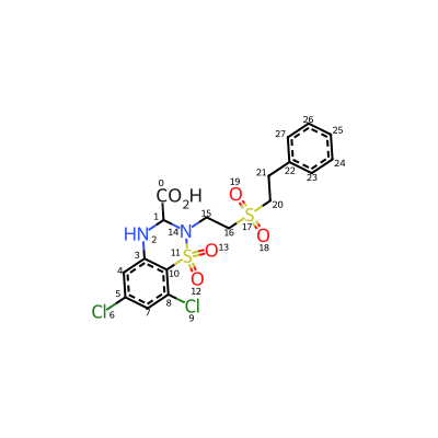 O=C(O)C1Nc2cc(Cl)cc(Cl)c2S(=O)(=O)N1CCS(=O)(=O)CCc1ccccc1